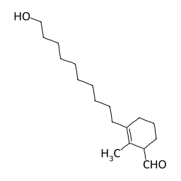 CC1=C(CCCCCCCCCCO)CCCC1C=O